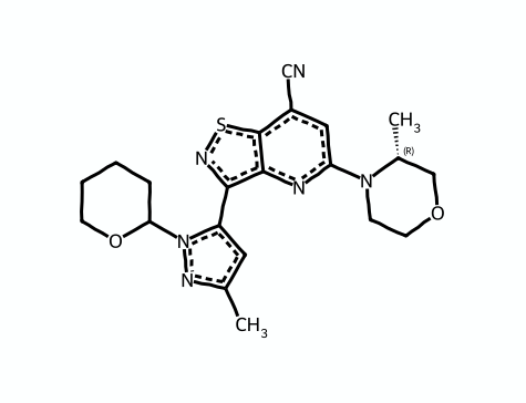 Cc1cc(-c2nsc3c(C#N)cc(N4CCOC[C@H]4C)nc23)n(C2CCCCO2)n1